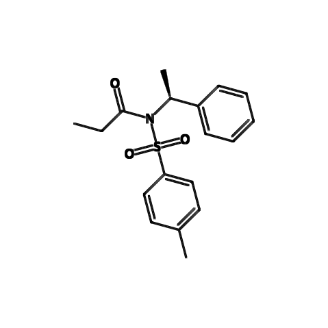 CCC(=O)N([C@@H](C)c1ccccc1)S(=O)(=O)c1ccc(C)cc1